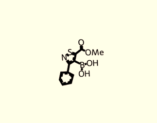 COC(=O)c1snc(-c2ccccc2)c1B(O)O